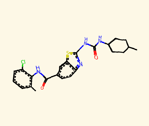 Cc1cccc(Cl)c1NC(=O)c1ccc2nc(NC(=O)NC3CCC(C)CC3)sc2c1